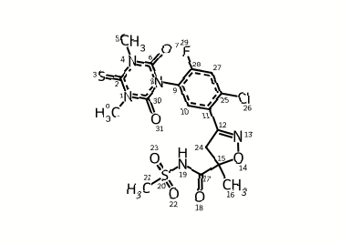 Cn1c(=S)n(C)c(=O)n(-c2cc(C3=NOC(C)(C(=O)NS(C)(=O)=O)C3)c(Cl)cc2F)c1=O